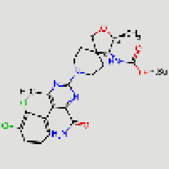 Cc1nc(N2CCC3(CC2)CO[C@@H](C)[C@H]3NC(=O)OC(C)(C)C)nc(C(N)=O)c1-c1cccc(Cl)c1Cl